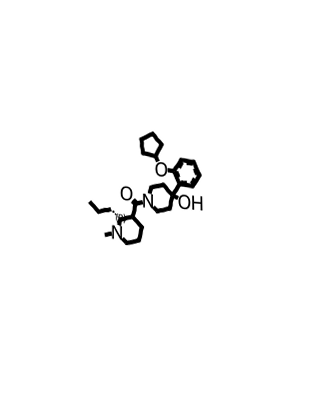 CCC[C@@H]1C(C(=O)N2CCC(O)(c3ccccc3OC3CCCC3)CC2)CCCN1C